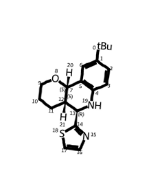 CC(C)(C)c1ccc2c(c1)[C@H]1OCCC[C@H]1[C@H](c1nccs1)N2